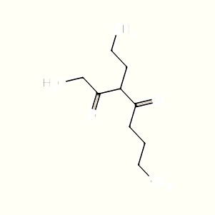 CCCCC(=O)C(CCC)C(=O)CC